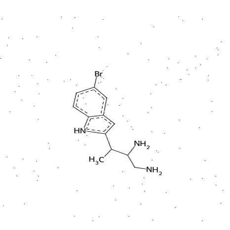 CC(c1cc2cc(Br)ccc2[nH]1)C(N)CN